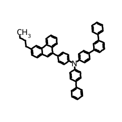 CCCCc1ccc2cc(-c3ccc(N(c4ccc(-c5ccccc5)cc4)c4ccc(-c5cccc(-c6ccccc6)c5)cc4)cc3)c3ccccc3c2c1